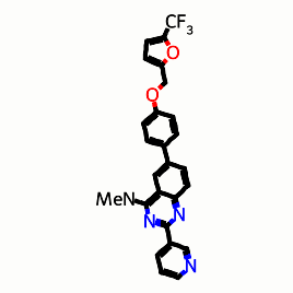 CNc1nc(-c2cccnc2)nc2ccc(-c3ccc(OCc4ccc(C(F)(F)F)o4)cc3)cc12